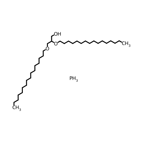 CCCCCCCCCCCCCCCCOCC(CO)OCCCCCCCCCCCCCCCC.P